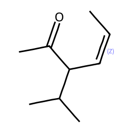 C/C=C\C(C(C)=O)C(C)C